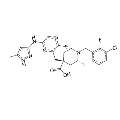 Cc1cc(Nc2cnc(F)c(C[C@@]3(C(=O)O)CCN(Cc4cccc(Cl)c4F)[C@H](C)C3)n2)n[nH]1